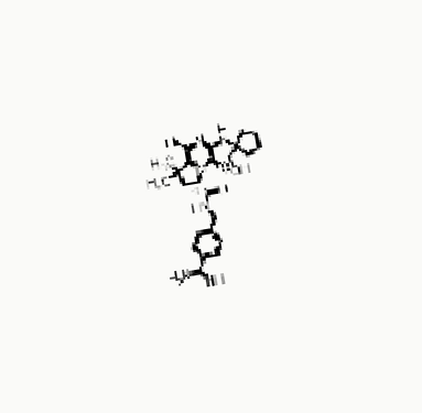 CC1(C)C[C@@H](C(=O)NCc2ccc(C(=N)N)cc2)n2c1c(Cl)nc(NC1(CO)CCCC1)c2=O